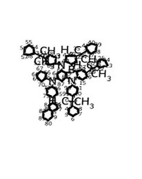 CC(C)(c1ccccc1)c1ccc(N2c3ccc(C(C)(C)c4ccccc4)cc3B3c4cc(C(C)(C)c5ccccc5)ccc4N(c4ccc(C(C)(C)c5ccccc5)cc4)c4cc(N(c5ccccc5)c5ccc(-c6ccc7ccccc7c6)cc5)cc2c43)cc1